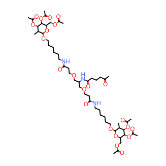 CC(=O)CCCC(=O)NC(COCCC(=O)NCCCCCCOC1OC(COC(C)=O)C(OC(C)=O)C(OC(C)=O)C1C)COCCC(=O)NCCCCCCOC1OC(COC(C)=O)C(OC(C)=O)C(OC(C)=O)C1C